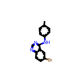 Cc1ccc(Nc2ncnc3ccc(Br)cc23)cc1